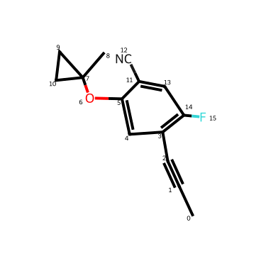 CC#Cc1cc(OC2(C)CC2)c(C#N)cc1F